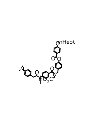 CCCCCCCOc1ccc(C(=O)Oc2ccc(CN(CC(=O)O)C(=O)c3ccc(NC(=O)Cc4ccc(N(C)C)cc4)cc3)cc2)cc1